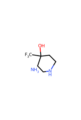 N.OC1(C(F)(F)F)CCNCC1